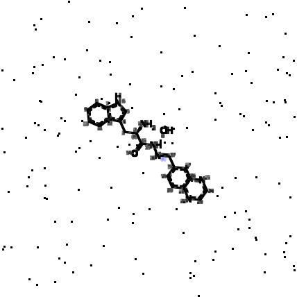 Cl.N[C@H](Cc1c[nH]c2ccccc12)C(=O)N/N=C/c1ccc2nccnc2c1